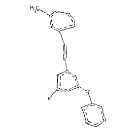 Cc1cccc(C#Cc2cc(F)cc(Oc3cccnc3)c2)c1